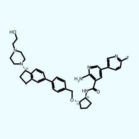 Nc1ncc(-c2ccc(F)nc2)cc1C(=O)N[C@H]1CCC[C@@H]1OCc1ccc(-c2ccc3c(c2)CC[C@@H]3N2CCN(CCO)CC2)cc1